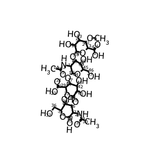 CO[C@@H]1C(C(=O)O)O[C@@H](O[C@@H]2C(NC(C)=O)[C@H](O[C@@H]3C(C(=O)O)O[C@@H](OC4C(NC(C)=O)[C@H](O)OC(CO)[C@H]4O)C(O)C3O)OC(CO)[C@H]2O)C(O)C1O